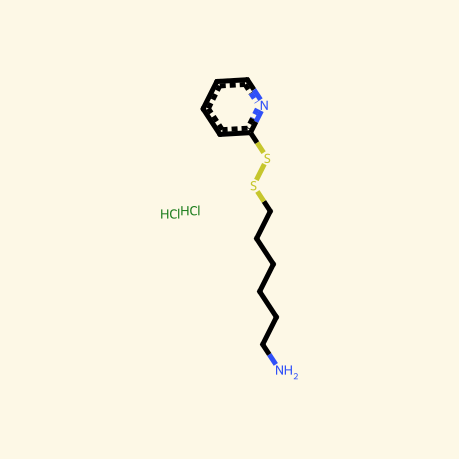 Cl.Cl.NCCCCCCSSc1ccccn1